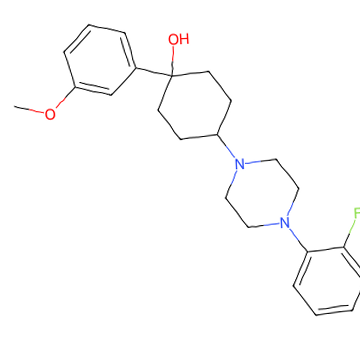 COc1cccc(C2(O)CCC(N3CCN(c4ccccc4F)CC3)CC2)c1